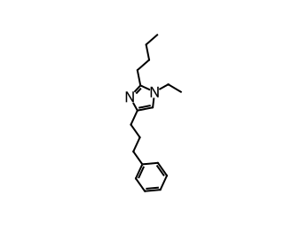 CCCCc1nc(CCCc2ccccc2)cn1CC